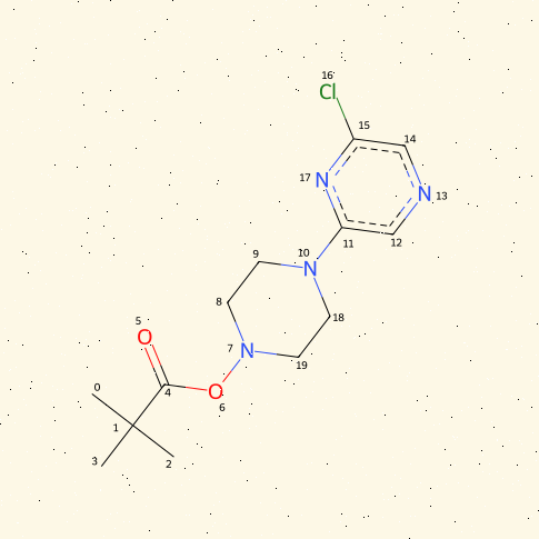 CC(C)(C)C(=O)ON1CCN(c2cncc(Cl)n2)CC1